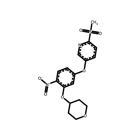 CS(=O)(=O)c1ccc(Oc2ccc([N+](=O)[O-])c(OC3CCOCC3)c2)cn1